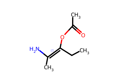 CC/C(OC(C)=O)=C(\C)N